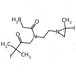 BCC(=O)N(CCN1CC1(C)I)CC(=O)C(C)(C)I